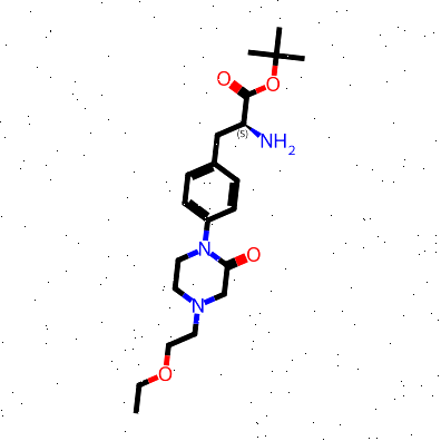 CCOCCN1CCN(c2ccc(C[C@H](N)C(=O)OC(C)(C)C)cc2)C(=O)C1